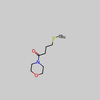 CC(C)(C)SCCCC(=O)N1CCOCC1